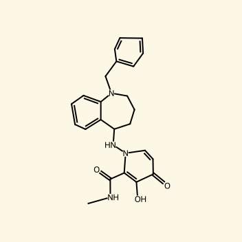 CNC(=O)c1c(O)c(=O)ccn1NC1CCCN(Cc2ccccc2)c2ccccc21